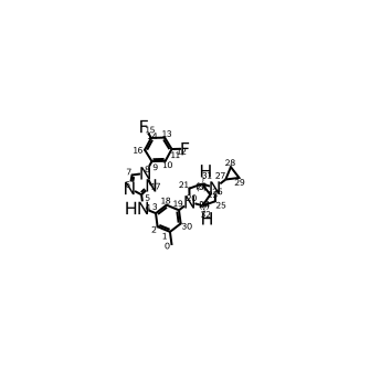 Cc1cc(Nc2ncn(-c3cc(F)cc(F)c3)n2)cc(N2C[C@@H]3C[C@H]2CN3C2CC2)c1